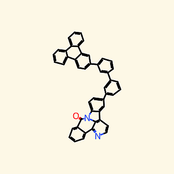 O=c1c2ccccc2c2nccc3c4cc(-c5cccc(-c6cccc(-c7ccc8c9ccccc9c9ccccc9c8c7)c6)c5)ccc4n1c32